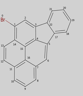 Brc1cc2c3c(cc4cccc5ccc1c3c54)-c1ccccc1-2